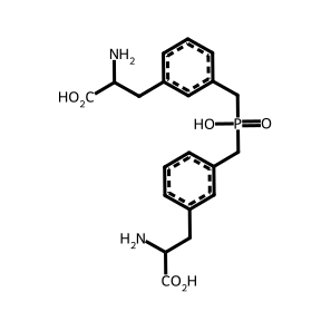 NC(Cc1cccc(CP(=O)(O)Cc2cccc(CC(N)C(=O)O)c2)c1)C(=O)O